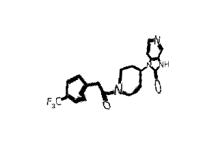 O=C(Cc1ccc(C(F)(F)F)cc1)N1CCC(n2c(=O)[nH]c3cnccc32)CC1